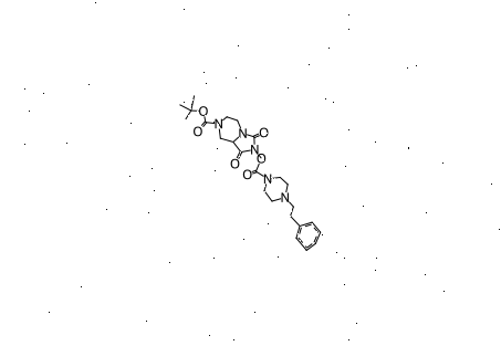 CC(C)(C)OC(=O)N1CCN2C(=O)N(OC(=O)N3CCN(CCc4ccccc4)CC3)C(=O)C2C1